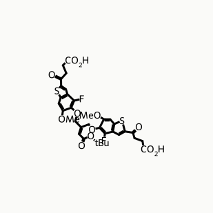 COc1cc2sc(C(=O)CCC(=O)O)cc2c(F)c1OCC(=CC(=O)OC(C)(C)C)COc1c(OC)cc2sc(C(=O)CCC(=O)O)cc2c1F